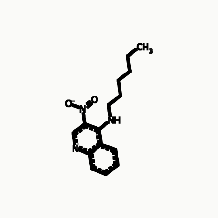 CCCCCCNc1c([N+](=O)[O-])cnc2ccccc12